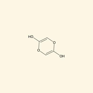 OC1=COC(O)=CO1